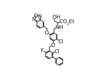 CCOC(=O)C(CO)NCc1cc(Cl)c(OCc2c(F)ccc(-c3ccccc3)c2Cl)cc1OCc1ccc2nonc2c1